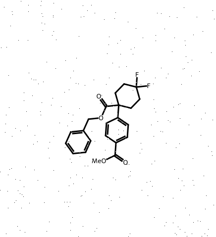 COC(=O)c1ccc(C2(C(=O)OCc3ccccc3)CCC(F)(F)CC2)cc1